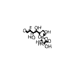 O=C[C@H](F)[C@@H](O)[C@@H](O)[C@@H](CO)OP(=O)(O)OP(=O)(O)O